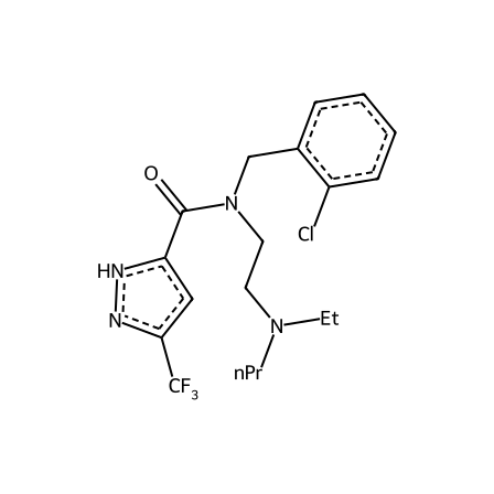 CCCN(CC)CCN(Cc1ccccc1Cl)C(=O)c1cc(C(F)(F)F)n[nH]1